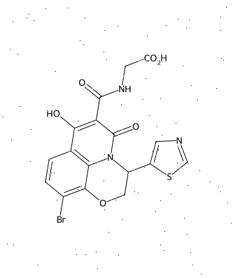 O=C(O)CNC(=O)c1c(O)c2ccc(Br)c3c2n(c1=O)C(c1cncs1)CO3